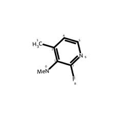 CNc1c(C)ccnc1F